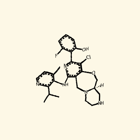 Cc1ccnc(C(C)C)c1Nc1nc(-c2c(O)cccc2F)c(Cl)c2c1CN1CCNC[C@@H]1CO2